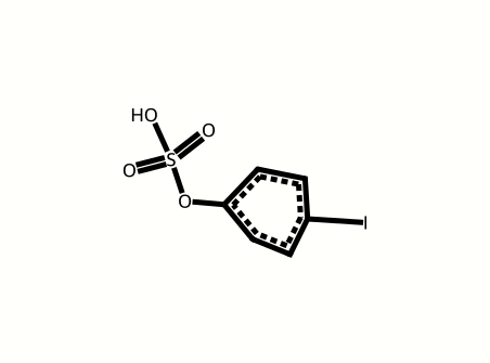 O=S(=O)(O)Oc1ccc(I)cc1